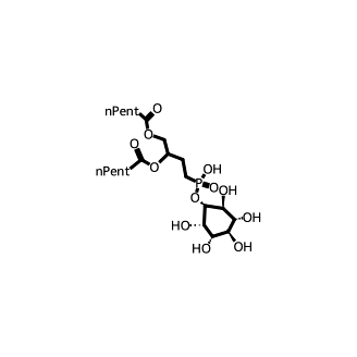 CCCCCC(=O)OCC(CCP(=O)(O)O[C@@H]1[C@@H](O)[C@H](O)[C@@H](O)[C@H](O)[C@@H]1O)OC(=O)CCCCC